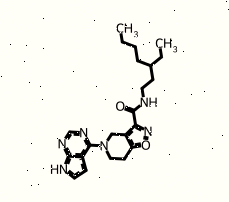 CCCCC(CC)CCNC(=O)c1noc2c1CN(c1ncnc3[nH]ccc13)CC2